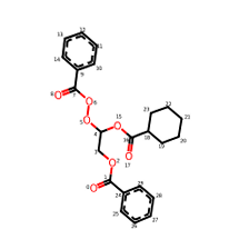 O=C(OCC(OOC(=O)c1ccccc1)OC(=O)C1CCCCC1)c1ccccc1